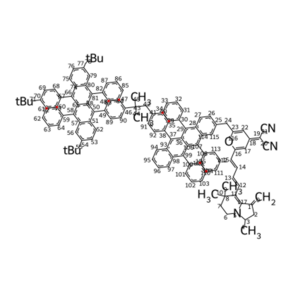 C=C1CC(C)N2CCC(C)(C)C(/C=C/C=C/C3=CC(=C(C#N)C#N)C=C(Cc4ccc5c(-c6ccccc6)c6c(-c7ccc(CC(C)(C)c8ccc(-c9c%10ccc(C(C)(C)C)cc%10c(-c%10ccccc%10)c%10c(-c%11ccc(C(C)(C)C)cc%11)c%11ccc(C(C)(C)C)cc%11c(-c%11ccccc%11)c9%10)cc8)cc7)c7ccccc7c(-c7ccccc7)c6c(-c6ccccc6)c5c4)O3)=C12